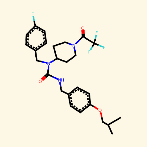 CC(C)COc1ccc(CNC(=O)N(Cc2ccc(F)cc2)C2CCN(C(=O)C(F)(F)F)CC2)cc1